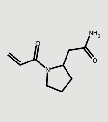 C=CC(=O)N1CCCC1CC(N)=O